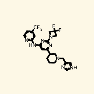 FC1(F)CN(c2nc(Nc3cc(C(F)(F)F)ccn3)cc(C3CCCN(Cc4c[nH]cn4)C3)n2)C1